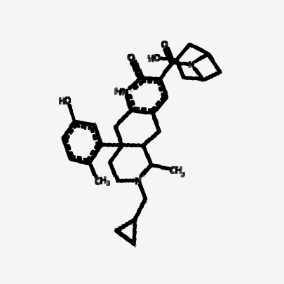 Cc1ccc(O)cc1C12CCN(CC3CC3)C(C)C1Cc1cc(C(=O)N3C4CC(O)CC3C4)c(=O)[nH]c1C2